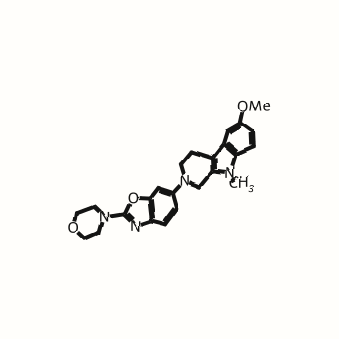 COc1ccc2c(c1)c1c(n2C)CN(c2ccc3nc(N4CCOCC4)oc3c2)CC1